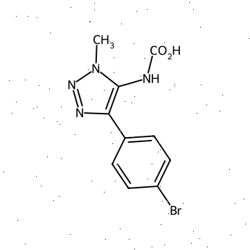 Cn1nnc(-c2ccc(Br)cc2)c1NC(=O)O